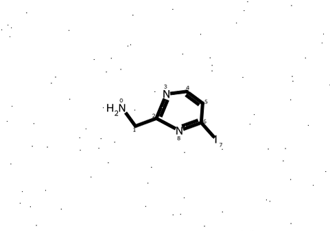 NCc1nccc(I)n1